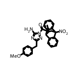 COc1ccc(Cc2nc(N)n(C(=O)C3(C)CC4([N+](=O)[O-])c5ccccc5C3c3ccccc34)n2)cc1